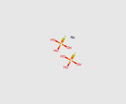 OP(O)(O)=S.OP(O)(O)=S.[Pb]